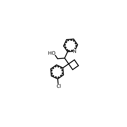 OCC(c1ccccn1)C1(c2cccc(Cl)c2)CCC1